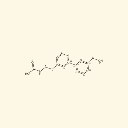 O=C(O)NCCc1cccc(-c2cccc(CO)c2)c1